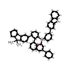 CC1(C)c2ccccc2-c2cc(-c3cccc(N(c4cccc(-c5ccccc5)c4)c4cccc(-c5ccc6c(c5)sc5ccccc56)c4)c3-c3ccccc3)ccc21